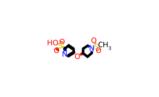 CS(=O)(=O)N1CCC(Oc2ccc(S(=O)(=O)O)nc2)CC1